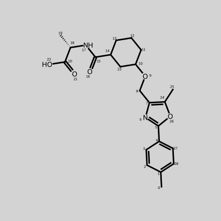 Cc1ccc(-c2nc(COC3CCCC(C(=O)N[C@@H](C)C(=O)O)C3)c(C)o2)cc1